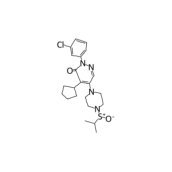 CC(C)[S+]([O-])N1CCN(c2cnn(-c3cccc(Cl)c3)c(=O)c2C2CCCC2)CC1